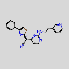 N#C/C(=C1\NC(c2ccccc2)=CS1)c1ccnc(NCCc2cccnc2)n1